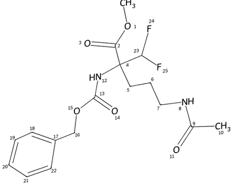 COC(=O)C(CCCNC(C)=O)(NC(=O)OCc1ccccc1)C(F)F